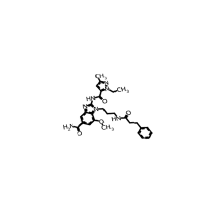 CCn1nc(C)cc1C(=O)Nc1nc2cc(C(N)=O)cc(OC)c2n1CCCNC(=O)CCc1ccccc1